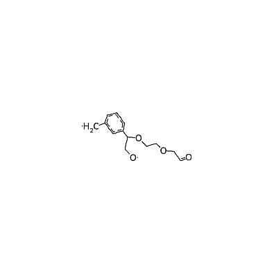 [CH2]c1cccc(C(C[O])OCCOCC=O)c1